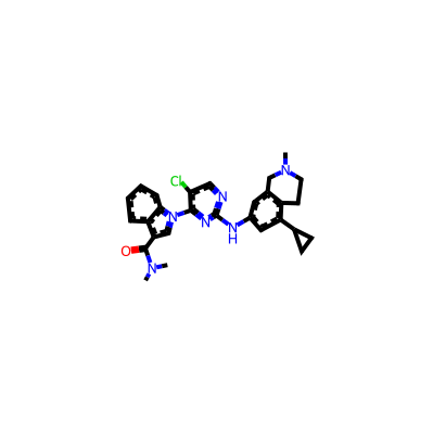 CN1CCc2c(cc(Nc3ncc(Cl)c(-n4cc(C(=O)N(C)C)c5ccccc54)n3)cc2C2CC2)C1